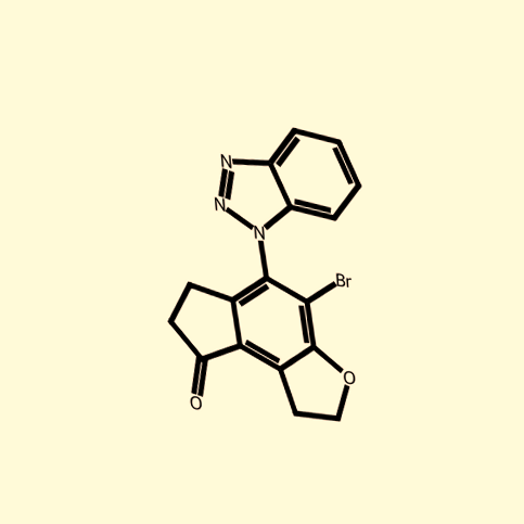 O=C1CCc2c1c1c(c(Br)c2-n2nnc3ccccc32)OCC1